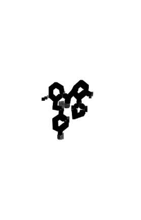 C[C@@H]1CCCN(C(=O)c2cccc(F)c2-n2nccn2)C1CNc1ccc(Cl)cn1